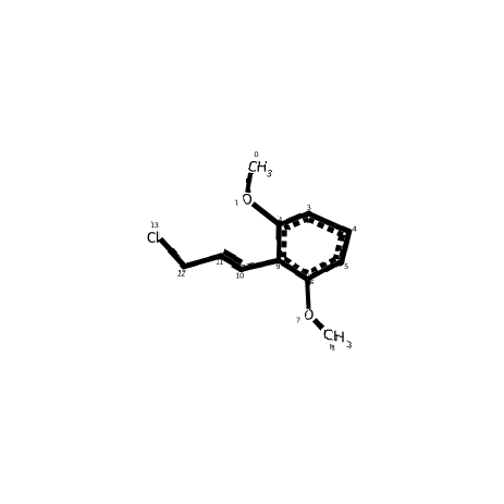 COc1cccc(OC)c1C=CCCl